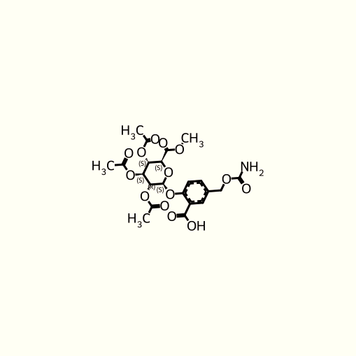 COC(=O)[C@H]1O[C@@H](Oc2ccc(COC(N)=O)cc2C(=O)O)[C@H](OC(C)=O)[C@@H](OC(C)=O)[C@@H]1OC(C)=O